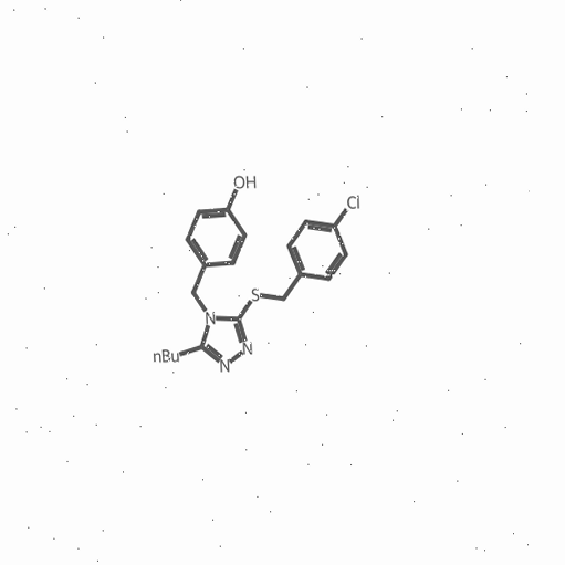 CCCCc1nnc(SCc2ccc(Cl)cc2)n1Cc1ccc(O)cc1